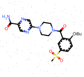 CC(C)COc1ccc(S(C)(=O)=O)cc1C(=O)N1CCN(c2cnc(C(N)=O)cn2)CC1